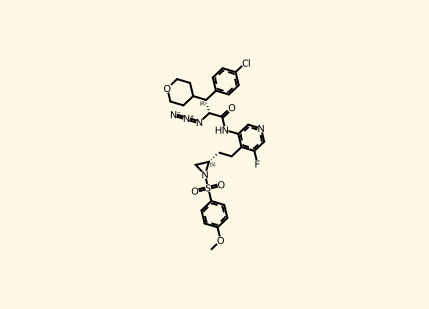 COc1ccc(S(=O)(=O)N2C[C@@H]2CCc2c(F)cncc2NC(=O)C(N=[N+]=[N-])[C@@H](c2ccc(Cl)cc2)C2CCOCC2)cc1